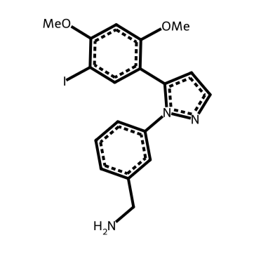 COc1cc(OC)c(-c2ccnn2-c2cccc(CN)c2)cc1I